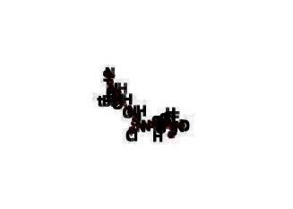 Cc1ncsc1-c1ccc([C@H](C)NC(=O)[C@@H]2CCCN2C(=O)[C@@H](NC(=O)CCCCCC(=O)NCCN(C)CC2(C)CCC(c3ccc(Cl)cc3)=C(CN3CCN(c4ccc(C(=O)NS(=O)(=O)c5ccc(N[C@H](CCN6CCOCC6)CSc6ccccc6)c(S(=O)(=O)C(F)(F)F)c5)cc4)CC3)C2)C(C)(C)C)cc1